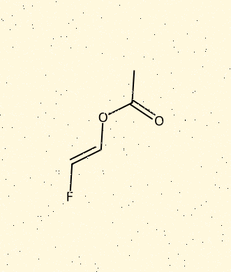 CC(=O)OC=CF